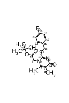 Cc1c(C)n(CC(=O)OC(C)(C)C)c(SCc2ccc(F)cc2)nc1=O